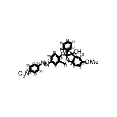 COc1ccc2c(c1)C(C)(C)C1(c3ccccc3)Oc3ccc(N=Nc4ccc([N+](=O)[O-])cc4)cc3CN21